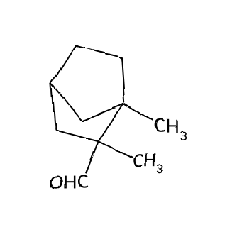 CC1(C=O)CC2CCC1(C)C2